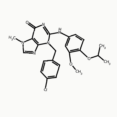 COc1cc(Nc2nc(=O)c3c(ncn3C)n2Cc2ccc(Cl)cc2)ccc1OC(C)C